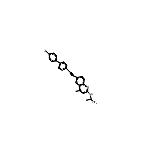 Cc1cc(NC(C)C(F)(F)F)nc2ccc(C#Cc3ccc(-c4ccc(Cl)cc4)cn3)cc12